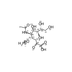 CC(=O)N[C@@H]([C@@H](O)[C@H](O)[C@H](O)CO)[C@@H](O)CC(=O)C(=O)O.[PbH2]